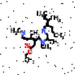 C=C/C(C)=C(\C=N/CC(C)N(C)C/C(CC(=O)OCC)=C(C)/C=C\N=C)CCC